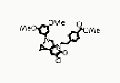 COC(=O)c1ccc(CCn2c(CN(C)c3cc(OC)cc(OC)c3)c(C3CC3)cc(Cl)c2=O)cc1